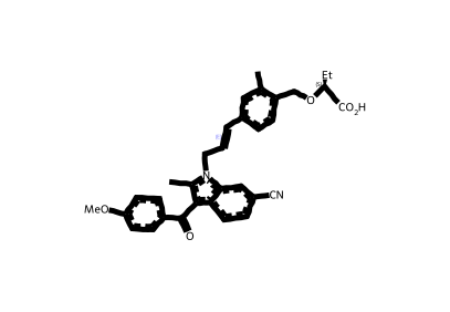 CC[C@H](OCc1ccc(/C=C/Cn2c(C)c(C(=O)c3ccc(OC)cc3)c3ccc(C#N)cc32)cc1C)C(=O)O